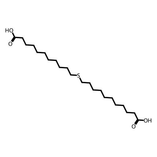 O=C(O)CCCCCCCCCCSCCCCCCCCCCC(=O)O